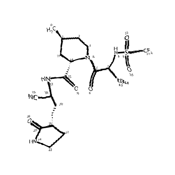 C[C@H]1CCN(C(=O)C(NS(=O)(=O)C(F)(F)F)C(C)(C)C)[C@H](C(=O)NC(C#N)C[C@@H]2CCNC2=O)C1